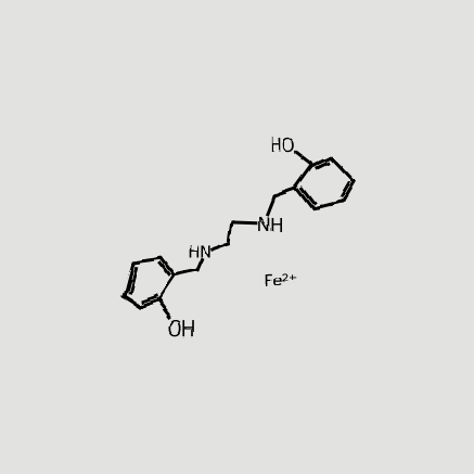 Oc1ccccc1CNCCNCc1ccccc1O.[Fe+2]